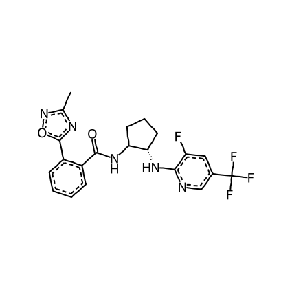 Cc1noc(-c2ccccc2C(=O)NC2CCC[C@@H]2Nc2ncc(C(F)(F)F)cc2F)n1